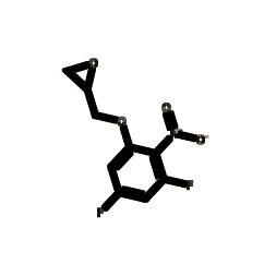 O=[N+]([O-])c1c(F)cc(F)cc1OCC1CO1